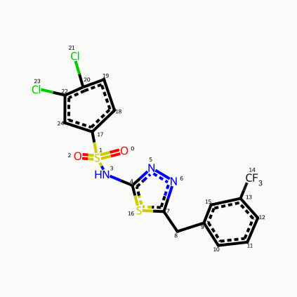 O=S(=O)(Nc1nnc(Cc2cccc(C(F)(F)F)c2)s1)c1ccc(Cl)c(Cl)c1